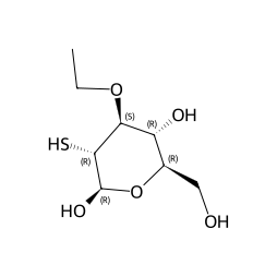 CCO[C@H]1[C@H](O)[C@@H](CO)O[C@@H](O)[C@@H]1S